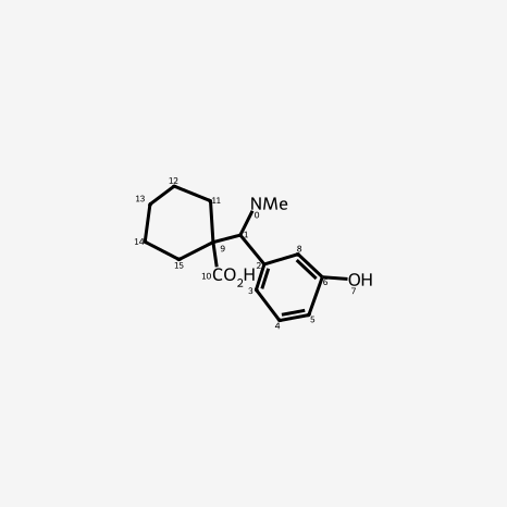 CNC(c1cccc(O)c1)C1(C(=O)O)CCCCC1